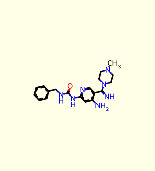 CN1CCN(C(=N)c2cnc(NC(=O)NCc3ccccc3)cc2N)CC1